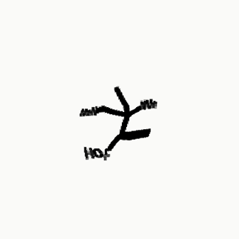 C=C(C(=O)O)C(C)(NC)NC